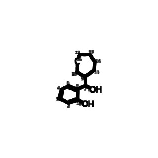 Oc1ccccc1C(O)C1CCCCCC1